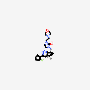 C=C1[C@@H]2CC[C@@]1(CN1CCN(CCN3CCOCC3)C1=O)c1nnc(-c3ccccc3F)cc12